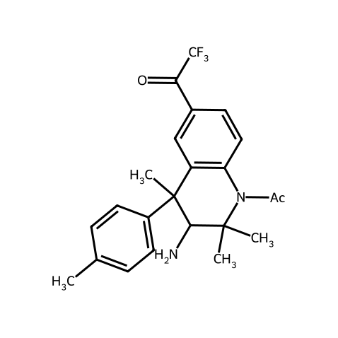 CC(=O)N1c2ccc(C(=O)C(F)(F)F)cc2C(C)(c2ccc(C)cc2)C(N)C1(C)C